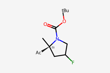 CC(=O)[C@]1(C)CC(F)CN1C(=O)OC(C)(C)C